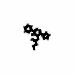 CCOC(=O)CC(NC(=O)c1ccccc1)C(=O)c1cccs1